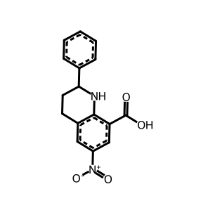 O=C(O)c1cc([N+](=O)[O-])cc2c1NC(c1ccccc1)CC2